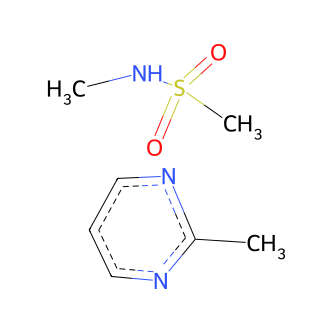 CNS(C)(=O)=O.Cc1ncccn1